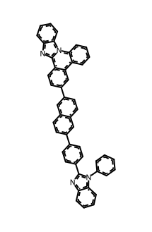 c1ccc(-n2c(-c3ccc(-c4ccc5cc(-c6ccc7c(c6)c6ccccc6n6c8ccccc8nc76)ccc5c4)cc3)nc3ccccc32)cc1